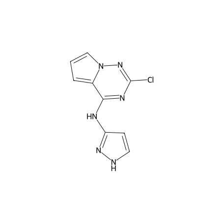 Clc1nc(Nc2cc[nH]n2)c2cccn2n1